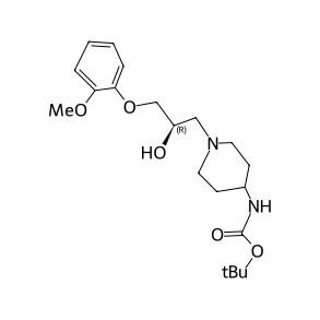 COc1ccccc1OC[C@H](O)CN1CCC(NC(=O)OC(C)(C)C)CC1